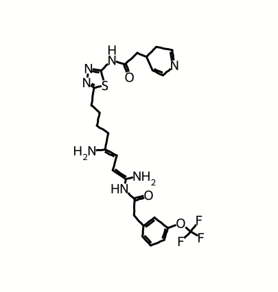 N/C(=C\C=C(/N)NC(=O)Cc1cccc(OC(F)(F)F)c1)CCCCc1nnc(NC(=O)CC2C=CN=CC2)s1